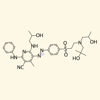 Cc1c(C#N)c(Nc2ccccc2)nc(NCC(C)O)c1/N=N/c1ccc(S(=O)(=O)CCN(CC(C)O)CC(C)(C)O)cc1